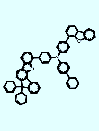 C1=CCCC(C2(C3CC=CCC3)c3ccccc3-c3c2ccc2c3oc3c(C4C=CC(N(c5ccc(C6=C7Oc8ccccc8C7CC=C6)cc5)c5ccc(C6C=CCCC6)cc5)=CC4)cccc32)=C1